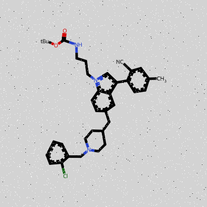 Cc1ccc(-c2cn(CCCNC(=O)OC(C)(C)C)c3ccc(CC4CCN(Cc5ccccc5Cl)CC4)cc23)c(C#N)c1